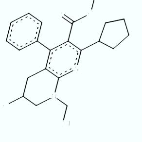 CCN1CC(C)Cc2c1nc(C1CCCC1)c(C(=O)OC)c2-c1ccccc1